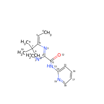 C=N/C(=N\C(=C/C)C(C)(C)C)C(=O)Nc1ccccn1